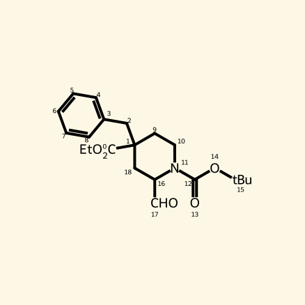 CCOC(=O)C1(Cc2ccccc2)CCN(C(=O)OC(C)(C)C)C(C=O)C1